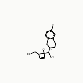 OCC1C=CC1(O)C(S)[C@@H]1CCc2cc(F)ccc2O1